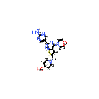 CNc1ncc(-c2nc(N3CCOCC3)c3cc(CN4CCC(O)CC4)sc3n2)cn1